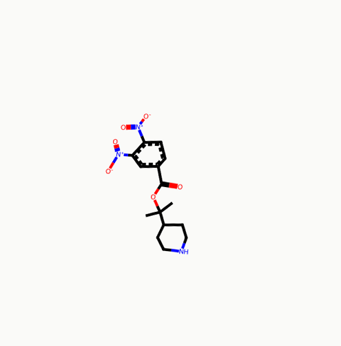 CC(C)(OC(=O)c1ccc([N+](=O)[O-])c([N+](=O)[O-])c1)C1CCNCC1